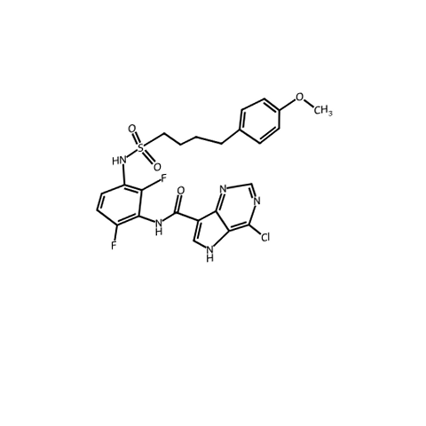 COc1ccc(CCCCS(=O)(=O)Nc2ccc(F)c(NC(=O)c3c[nH]c4c(Cl)ncnc34)c2F)cc1